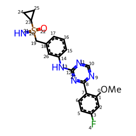 COc1cc(F)ccc1-c1ncnc(Nc2cccc(CS(=N)(=O)C3CC3)c2)n1